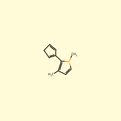 Cc1ccp(C)c1C1=[C]CC=C1